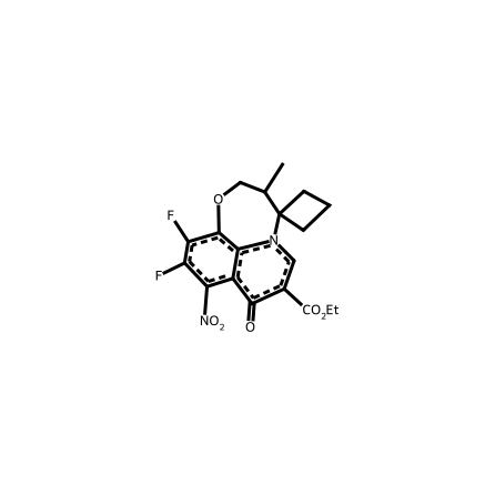 CCOC(=O)c1cn2c3c(c(F)c(F)c([N+](=O)[O-])c3c1=O)OCC(C)C21CCC1